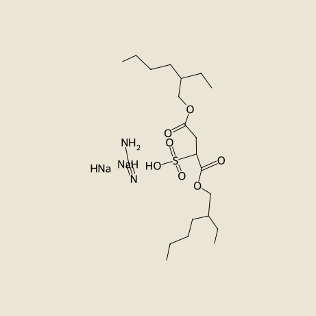 CCCCC(CC)COC(=O)CC(C(=O)OCC(CC)CCCC)S(=O)(=O)O.N#CN.[NaH].[NaH]